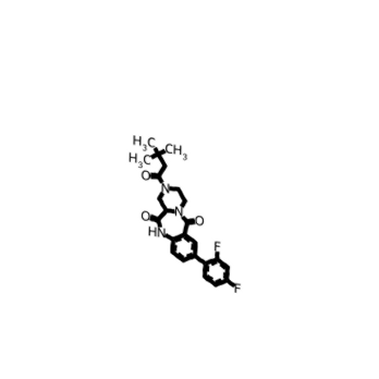 CC(C)(C)CC(=O)N1CCN2C(=O)c3cc(-c4ccc(F)cc4F)ccc3NC(=O)C2C1